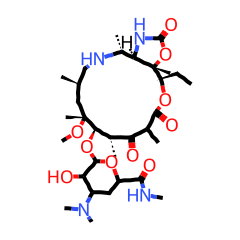 CC[C@H]1OC(=O)C(C)C(=O)[C@H](C)[C@@H](OC2OC(C(=O)NC)CC(N(C)C)C2O)[C@](C)(OC)C[C@@H](C)CN[C@H](C)[C@H]2NC(=O)O[C@@]21C